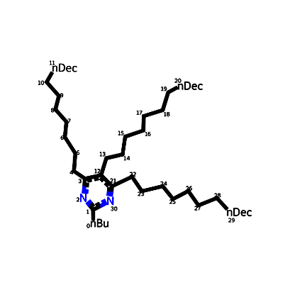 [CH2]CCCc1nc(CCCCCCCCCCCCCCCCC)c(CCCCCCCCCCCCCCCCC)c(CCCCCCCCCCCCCCCCC)n1